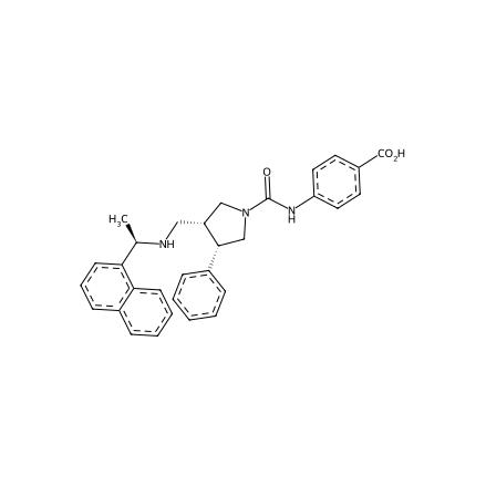 C[C@@H](NC[C@@H]1CN(C(=O)Nc2ccc(C(=O)O)cc2)C[C@@H]1c1ccccc1)c1cccc2ccccc12